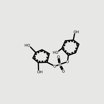 O=S(=O)(Oc1ccc(O)cc1O)Oc1ccc(O)cc1O